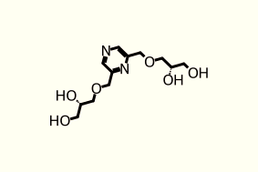 OC[C@H](O)COCc1cncc(COC[C@@H](O)CO)n1